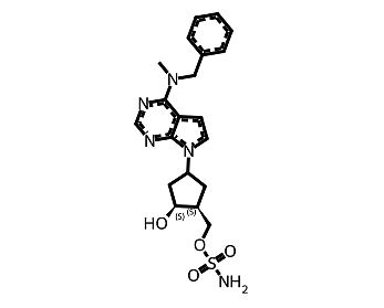 CN(Cc1ccccc1)c1ncnc2c1ccn2C1C[C@@H](COS(N)(=O)=O)[C@@H](O)C1